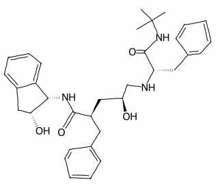 CC(C)(C)NC(=O)[C@H](Cc1ccccc1)NC[C@@H](O)C[C@@H](Cc1ccccc1)C(=O)N[C@H]1c2ccccc2C[C@H]1O